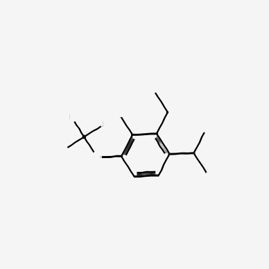 CCc1c(C(C)C)ccc(OC(F)(F)F)c1Cl